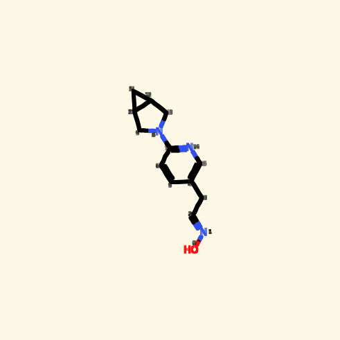 ON=CCc1ccc(N2CC3CC3C2)nc1